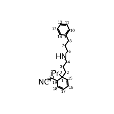 CC(C)C1(CCCNCCCc2ccccc2)C=CC=CC1CC#N